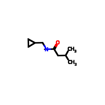 CC(C)CC(=O)[N]CC1CC1